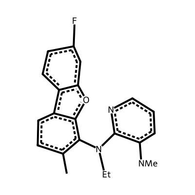 CCN(c1ncccc1NC)c1c(C)ccc2c1oc1cc(F)ccc12